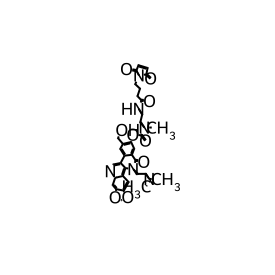 CN(C)CCn1c(=O)c2cc(OC(=O)N(C)CCNC(=O)CCCN3C(=O)C=CC3=O)c(CO)cc2c2cnc3cc4c(cc3c21)OCO4